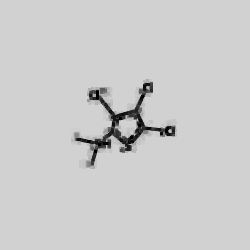 C[SiH](C)c1sc(Cl)c(Cl)c1Cl